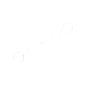 O=S(=O)(OCC#CCOS(=O)(=O)C1CCCCC1)C1CCCCC1